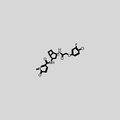 Cn1cc(C(=O)NC2C[C@H](NC(=O)COc3ccc(Cl)c(F)c3)C3CCC23)ccc1=O